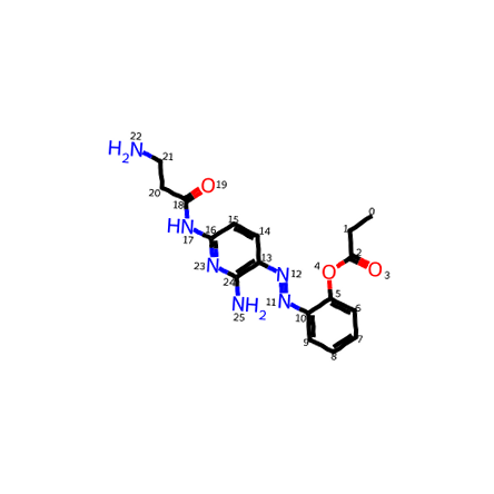 CCC(=O)Oc1ccccc1/N=N/c1ccc(NC(=O)CCN)nc1N